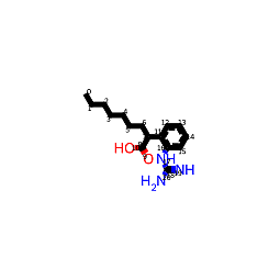 CCCCCCCC(C(=O)O)c1ccccc1NC(=N)N